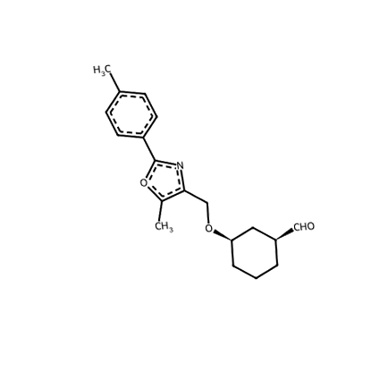 Cc1ccc(-c2nc(CO[C@@H]3CCC[C@H](C=O)C3)c(C)o2)cc1